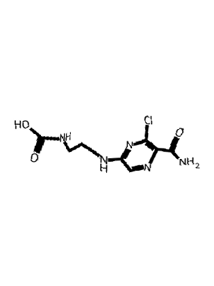 NC(=O)c1ncc(NCCNC(=O)O)nc1Cl